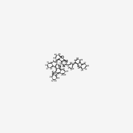 c1cc(-c2nc(-n3c4ccc5ccccc5c4c4c5sc6ccccc6c5c5ccccc5c43)c3c(n2)oc2ccccc23)cc(-c2cccc3c2sc2ccccc23)c1